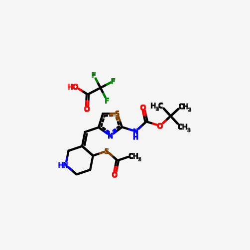 CC(=O)SC1CCNCC1=Cc1csc(NC(=O)OC(C)(C)C)n1.O=C(O)C(F)(F)F